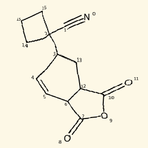 N#CC1(C2C=CC3C(=O)OC(=O)C3C2)CCC1